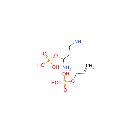 C=CCOP(=O)(O)O.NCCC(N)OP(=O)(O)O